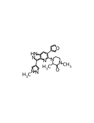 CC1C(=O)N(C)CCN1c1nc2c(-c3cnn(C)c3)n[nH]c2cc1-c1ccoc1